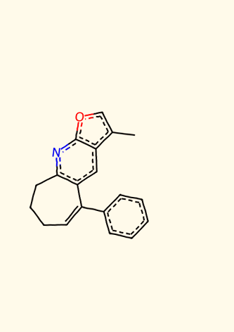 Cc1coc2nc3c(cc12)C(c1ccccc1)=CCCC3